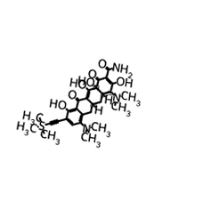 CN(C)c1cc(C#CS(C)(C)C)c(O)c2c1C[C@H]1C[C@H]3[C@H](N(C)C)C(O)=C(C(N)=O)C(=O)[C@@]3(O)C(O)=C1C2=O